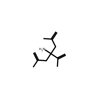 C=C(C)CC(N)(CC(=C)C)C(=C)C